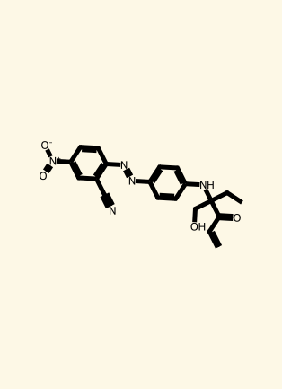 C=CC(=O)C(CC)(CO)Nc1ccc(N=Nc2ccc([N+](=O)[O-])cc2C#N)cc1